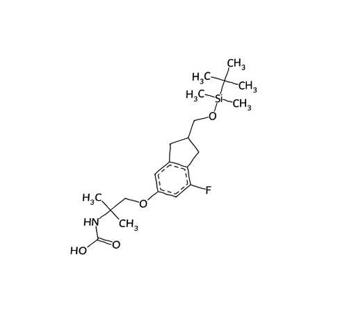 CC(C)(COc1cc(F)c2c(c1)CC(CO[Si](C)(C)C(C)(C)C)C2)NC(=O)O